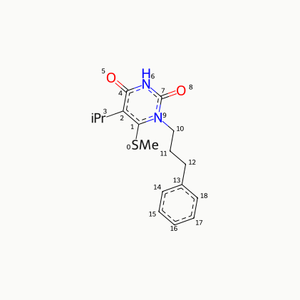 CSc1c(C(C)C)c(=O)[nH]c(=O)n1CCCc1ccccc1